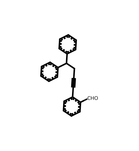 O=Cc1ccccc1C#CCC(c1ccccc1)c1ccccc1